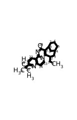 CCC1CC2CCCC(C2)c2c1n1ccc3nc(C(C)(C)C)ccc3c1nc2=O